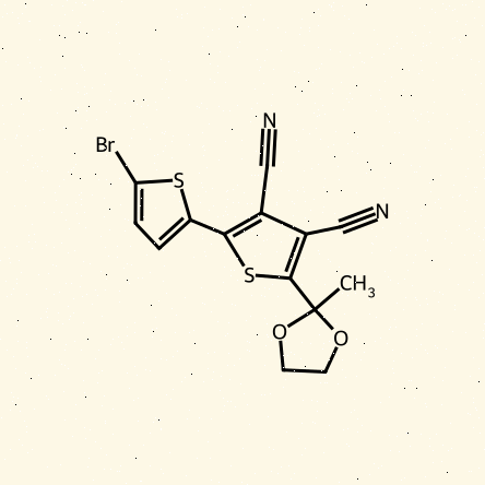 CC1(c2sc(-c3ccc(Br)s3)c(C#N)c2C#N)OCCO1